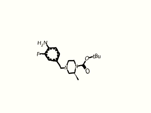 C[C@H]1CN(Cc2ccc(N)c(F)c2)CCN1C(=O)OC(C)(C)C